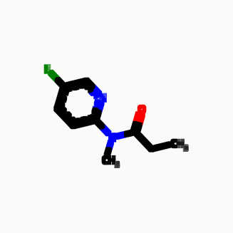 CCC(=O)N(C)c1ccc(F)cn1